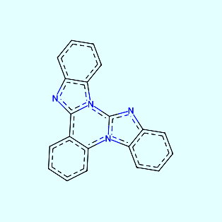 c1ccc2c(c1)nc1n2c2ccccc2c2nc3ccccc3n21